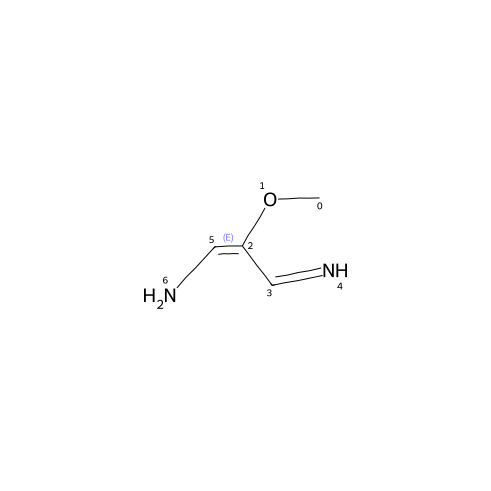 CO/C(C=N)=C/N